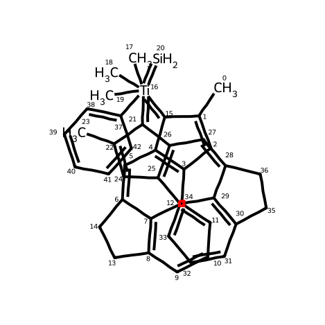 CC1=Cc2c(cc3c4c(cccc24)CC3)[C]1=[Ti]([CH3])([CH3])([CH3])(=[SiH2])(=[C]1C(C)=Cc2c1cc1c3c(cccc23)CC1)[c]1ccccc1